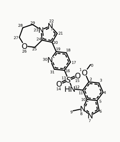 COc1ccc2cnn(C)c2c1NS(=O)(=O)c1ccc(-c2cnn3c2COCCC3)nc1